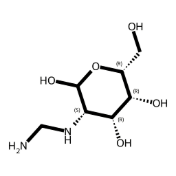 NCN[C@@H]1C(O)O[C@H](CO)[C@H](O)[C@@H]1O